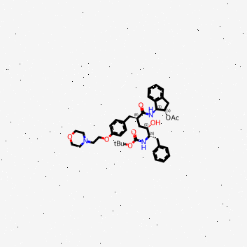 CC(=O)O[C@H]1Cc2ccccc2[C@@H]1NC(=O)[C@H](Cc1ccc(OCCN2CCOCC2)cc1)C[C@H](O)[C@H](Cc1ccccc1)NC(=O)OC(C)(C)C